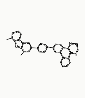 Cc1cccc2c1oc1c(C)cc(-c3ccc(-c4ccc5c(c4)c4ccccc4c4nccnc54)cc3)cc12